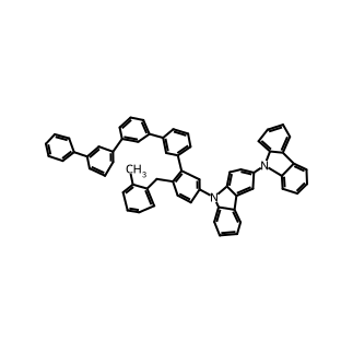 Cc1ccccc1Cc1ccc(-n2c3ccccc3c3cc(-n4c5ccccc5c5ccccc54)ccc32)cc1-c1cccc(-c2cccc(-c3cccc(-c4ccccc4)c3)c2)c1